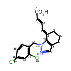 O=C(O)/C=C/C=C1CCCc2cnn(Cc3ccc(Cl)cc3Cl)c21